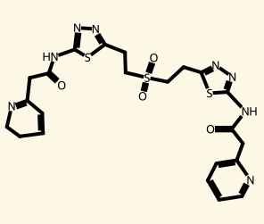 O=C(CC1=NCCC=C1)Nc1nnc(CCS(=O)(=O)CCc2nnc(NC(=O)Cc3ccccn3)s2)s1